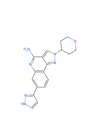 Nc1nc2cc(-c3cc[nH]n3)ccc2c2nn(C3CCOCC3)cc12